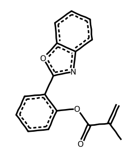 C=C(C)C(=O)Oc1ccccc1-c1nc2ccccc2o1